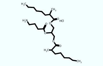 CCCCCCC(C)C(=O)OCC(COC(=O)C(C)CCCCCC)OC(=O)CCCN.Cl